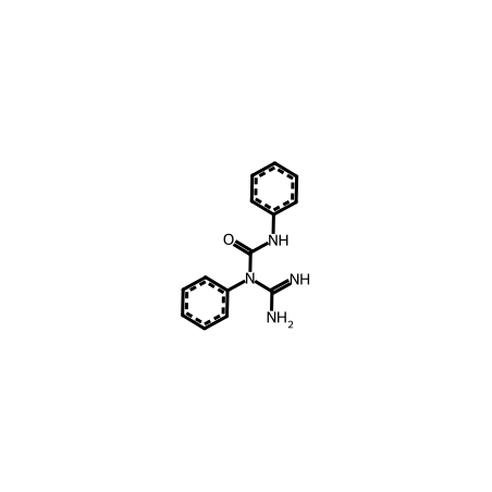 N=C(N)N(C(=O)Nc1ccccc1)c1ccccc1